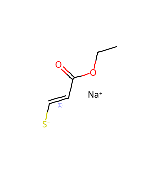 CCOC(=O)/C=C/[S-].[Na+]